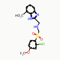 O=C(O)c1cccc2nc(CNCS(=O)(=O)c3ccc(OC(F)(F)F)cc3Cl)[nH]c12